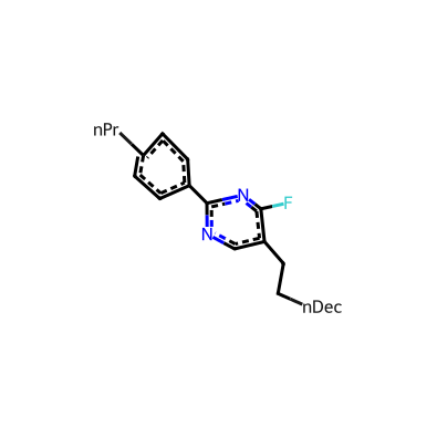 CCCCCCCCCCCCc1cnc(-c2ccc(CCC)cc2)nc1F